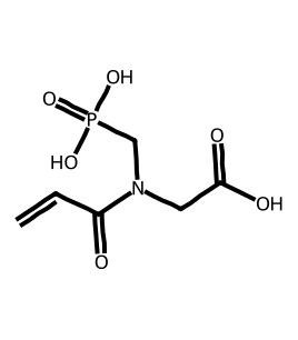 C=CC(=O)N(CC(=O)O)CP(=O)(O)O